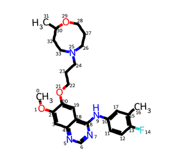 COc1cc2ncnc(Nc3ccc(F)c(C)c3)c2cc1OCCCN1CCCOC(C)CC1